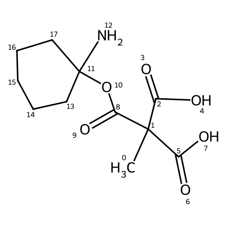 CC(C(=O)O)(C(=O)O)C(=O)OC1(N)CCCCC1